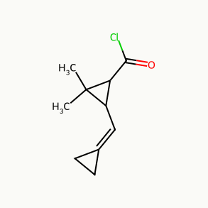 CC1(C)C(C=C2CC2)C1C(=O)Cl